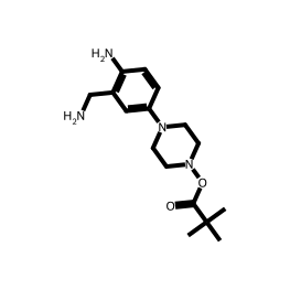 CC(C)(C)C(=O)ON1CCN(c2ccc(N)c(CN)c2)CC1